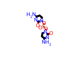 Nc1ccn(OS(=O)On2ccc(N)nc2=O)c(=O)n1